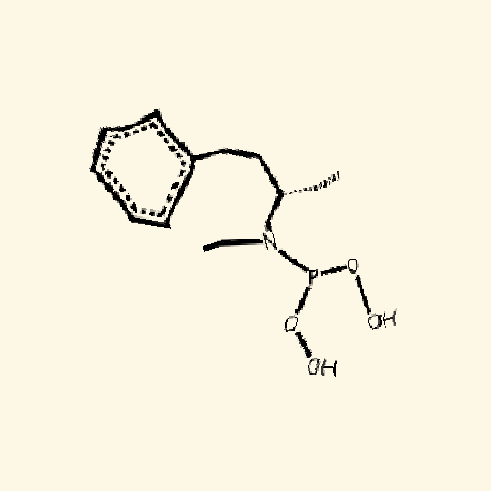 C[C@@H](Cc1ccccc1)N(C)P(OO)OO